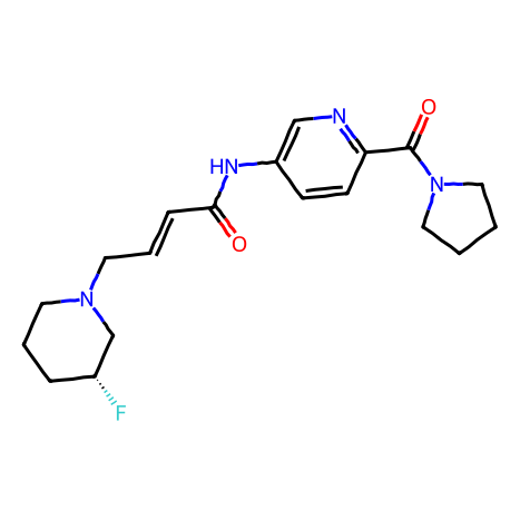 O=C(/C=C/CN1CCC[C@@H](F)C1)Nc1ccc(C(=O)N2CCCC2)nc1